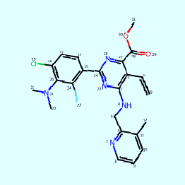 C=Cc1c(NCc2ncccc2C)nc(-c2ccc(Cl)c(N(C)C)c2F)nc1C(=O)OC